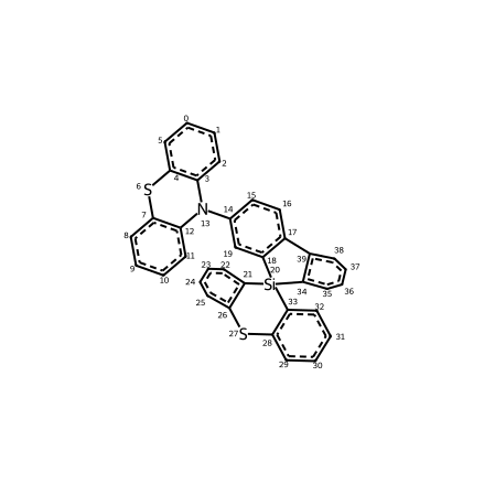 c1ccc2c(c1)Sc1ccccc1N2c1ccc2c(c1)[Si]1(c3ccccc3Sc3ccccc31)c1ccccc1-2